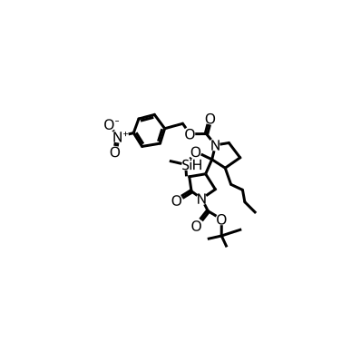 CCCCC1CCN(C(=O)OCc2ccc([N+](=O)[O-])cc2)C1(O[SiH](C)C)C1CC(=O)N(C(=O)OC(C)(C)C)C1